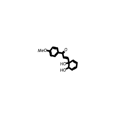 COc1ccc(C(=O)C=CC2(O)C=CC=CC2O)cc1